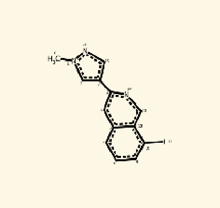 Cn1cc(-c2cc3cccc(I)c3cn2)cn1